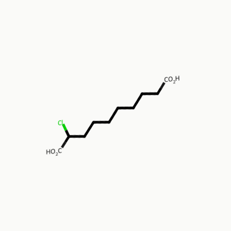 O=C(O)CCCCCCCC(Cl)C(=O)O